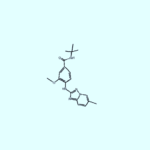 COc1cc(C(=O)NC(C)(C)C)ccc1Nc1nc2ccc(C)cn2n1